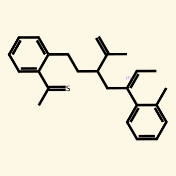 C=C(C)C(CCc1ccccc1C(C)=S)C/C(=C/C)c1ccccc1C